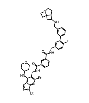 CCc1nc2c(cnn2CC)c(NC2CCOCC2)c1CNC(=O)c1cccc(C(=O)NCc2ccc(F)c(-c3cccc(CNC4CC56CCN5CCC46)c3)c2)c1